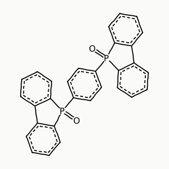 O=P1(c2ccc(P3(=O)c4ccccc4-c4ccccc43)cc2)c2ccccc2-c2ccccc21